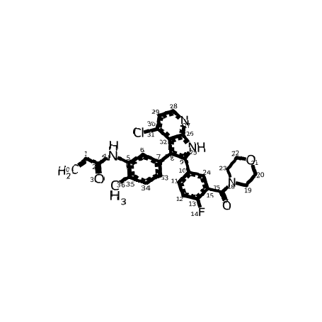 C=CC(=O)Nc1cc(-c2c(-c3ccc(F)c(C(=O)N4CCOCC4)c3)[nH]c3nccc(Cl)c23)ccc1C